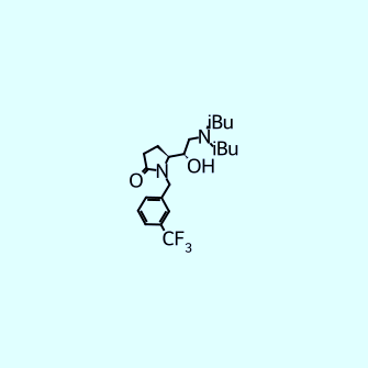 CCC(C)N(C[C@H](O)[C@@H]1CCC(=O)N1Cc1cccc(C(F)(F)F)c1)C(C)CC